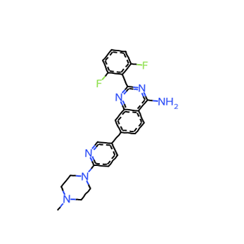 CN1CCN(c2ccc(-c3ccc4c(N)nc(-c5c(F)cccc5F)nc4c3)cn2)CC1